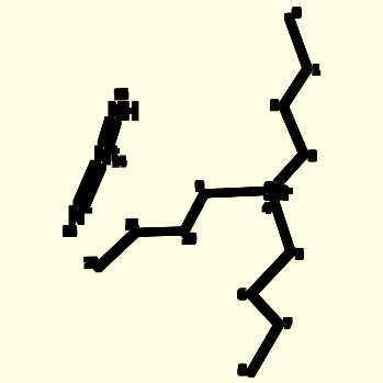 CCC[CH2][Sn]([CH2]CCC)[CH2]CCC.[N-]=[N+]=N